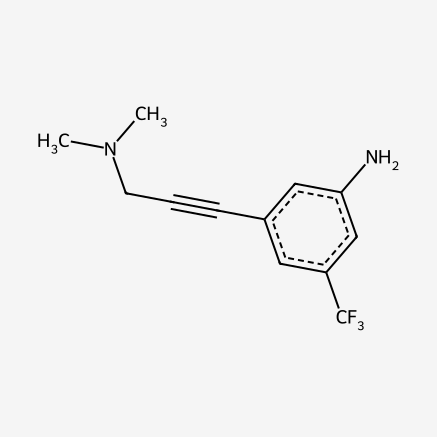 CN(C)CC#Cc1cc(N)cc(C(F)(F)F)c1